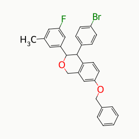 Cc1cc(F)cc(C2OCc3cc(OCc4ccccc4)ccc3C2c2ccc(Br)cc2)c1